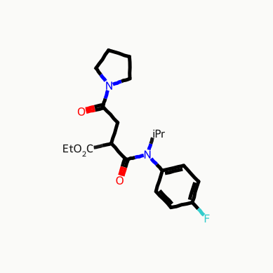 CCOC(=O)C(CC(=O)N1CCCC1)C(=O)N(c1ccc(F)cc1)C(C)C